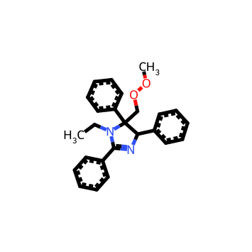 CCN1C(c2ccccc2)=NC(c2ccccc2)C1(COOC)c1ccccc1